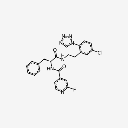 O=C(N[C@@H](Cc1ccccc1)C(=O)NCCc1cc(Cl)ccc1-n1cnnn1)c1ccnc(F)c1